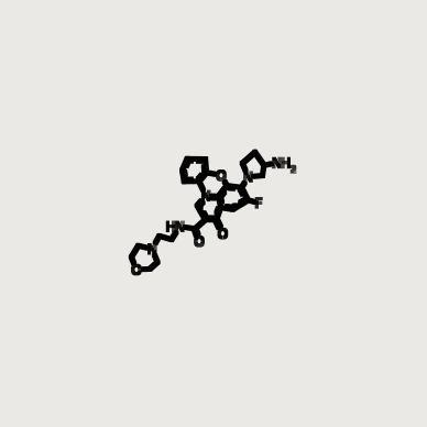 NC1CCN(c2c(F)cc3c(=O)c(C(=O)NCCN4CCOCC4)cn4c3c2Oc2ccccc2-4)C1